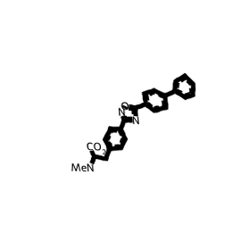 CNC(Cc1ccc(-c2noc(-c3ccc(-c4ccccc4)cc3)n2)cc1)C(=O)O